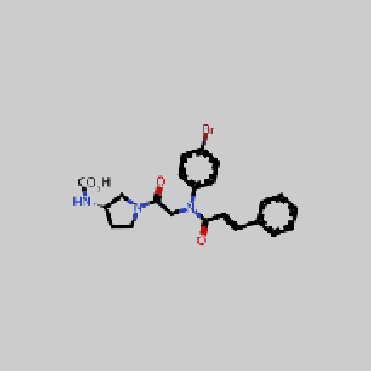 O=C(O)N[C@H]1CCN(C(=O)CN(C(=O)C=Cc2ccccc2)c2ccc(Br)cc2)C1